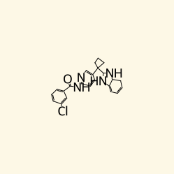 O=C(Nc1ccc(C2(C3NC4=CC=CCC4N3)CCC2)cn1)c1cccc(Cl)c1